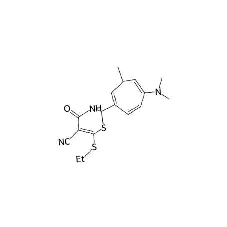 CCSC1=C(C#N)C(=O)NC(C2=CC(C)C=C(N(C)C)C=C2)S1